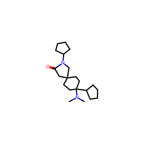 CN(C)C1(C2CCCC2)CCC2(CC1)CC(=O)N(C1CCCC1)C2